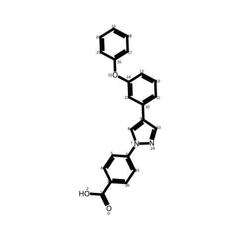 O=C(O)c1ccc(-n2cc(-c3cccc(Oc4ccccc4)c3)cn2)cc1